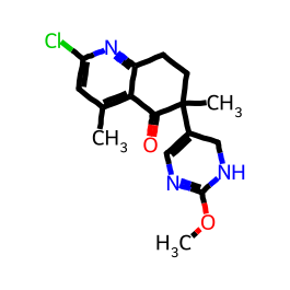 COC1=NC=C(C2(C)CCc3nc(Cl)cc(C)c3C2=O)CN1